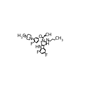 C#CC(=O)N1[C@@H](c2ccc(N3CCN(C)CC3)c(F)c2)c2[nH]c3c(F)cc(F)cc3c2C[C@@H]1NCCCC